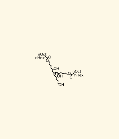 CCCCCCCCC(CCCCCC)C(=O)OCCCCC(O)CN(CCCCCO)C[C@@H](O)CCCCOC(=O)C(CCCCCC)CCCCCCCC